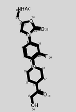 CC(=O)NC[C@H]1CN(c2ccc(N3CCC(C(=O)CO)CC3)c(F)c2)C(=O)O1